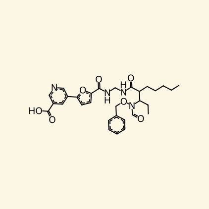 CCCCCC(C(=O)NCNC(=O)c1ccc(-c2cncc(C(=O)O)c2)o1)C(CC)N(C=O)OCc1ccccc1